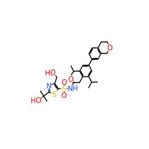 CC(C)c1cc(-c2ccc3c(c2)COCC3)cc(C(C)C)c1CC(=O)NS(=O)(=O)c1sc(C(C)(C)O)nc1CO